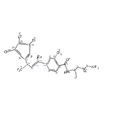 CC(CNCC(F)(F)F)NC(=O)c1ccc(/C(F)=C/C(c2cc(Cl)c(Cl)c(Cl)c2)C(F)(F)F)cc1C(F)(F)F